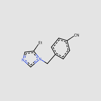 [CH2]Cc1cncn1Cc1ccc(C#N)cc1